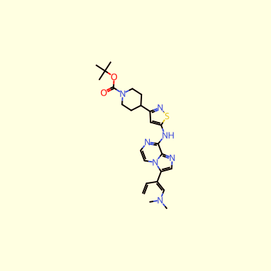 C=C/C(=C\N(C)C)c1cnc2c(Nc3cc(C4CCN(C(=O)OC(C)(C)C)CC4)ns3)nccn12